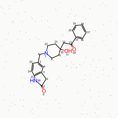 O=C1Cc2cc(CN3CCC(O)(CC(=O)c4ccccc4)CC3)ccc2N1